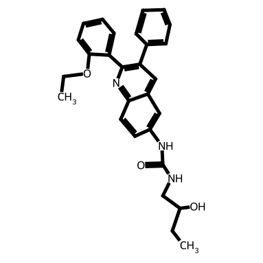 CCOc1ccccc1-c1nc2ccc(NC(=O)NCC(O)CC)cc2cc1-c1ccccc1